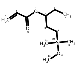 C=CC(=O)OC(CC)CC[Si](C)(C)OC